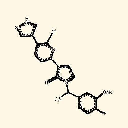 CCc1nc(-n2ccn(C(C)c3ccc(F)c(OC)c3)c2=O)ccc1-c1cn[nH]c1